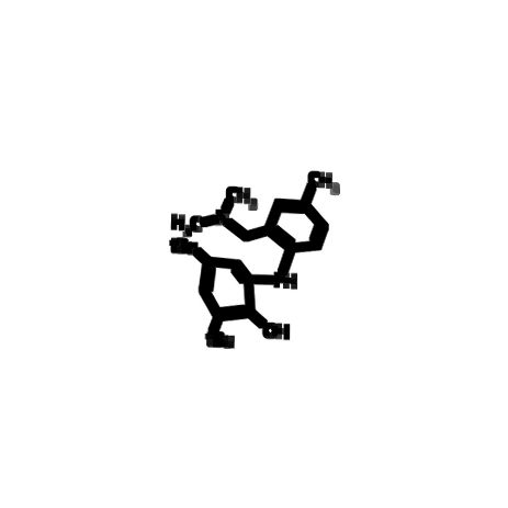 Cc1ccc(Pc2cc(C(C)(C)C)cc(C(C)(C)C)c2O)c(CN(C)C)c1